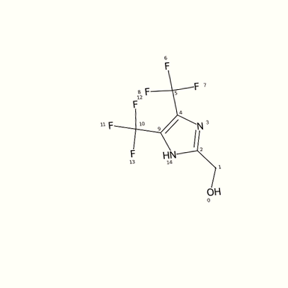 OCc1nc(C(F)(F)F)c(C(F)(F)F)[nH]1